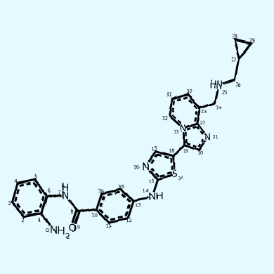 Nc1ccccc1NC(=O)c1ccc(Nc2ncc(-c3cnc4c(CNCC5CC5)cccn34)s2)cc1